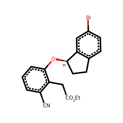 CCOC(=O)Cc1c(C#N)cccc1O[C@@H]1CCc2ccc(Br)cc21